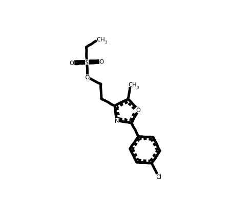 CCS(=O)(=O)OCCc1nc(-c2ccc(Cl)cc2)oc1C